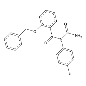 NC(=O)N(C(=O)c1ccccc1OCc1ccccc1)c1ccc(F)cc1